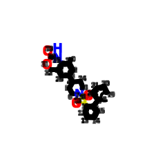 Cc1cc(C2CCN(S(=O)(=O)c3ccccc3-c3ccccc3)CC2)cc2c1NC(=O)OC2